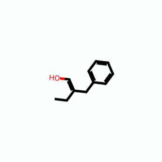 CCC(=CO)Cc1ccccc1